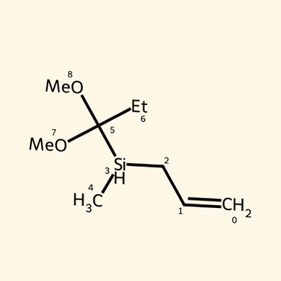 C=CC[SiH](C)C(CC)(OC)OC